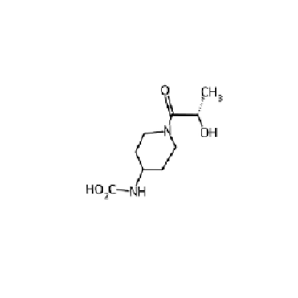 C[C@H](O)C(=O)N1CCC(NC(=O)O)CC1